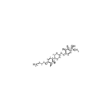 C=CCCOc1ccc(C2CCC(CCc3ccc(C(C)O)c(F)c3F)CC2)c(F)c1F